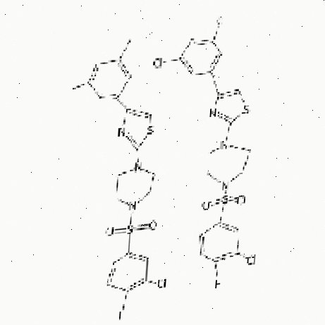 Cc1cc(C)cc(-c2csc(N3CCN(S(=O)(=O)c4ccc(F)c(Cl)c4)CC3)n2)c1.O=S(=O)(c1ccc(F)c(Cl)c1)N1CCN(c2nc(-c3cc(Cl)cc(Cl)c3)cs2)CC1